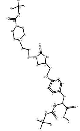 COC(=O)C(Cc1ccc(OCC2CN(CCCN3CCN(C(=O)OC(C)(C)C)CC3)C(=O)O2)cc1)NC(=O)OC(C)(C)C